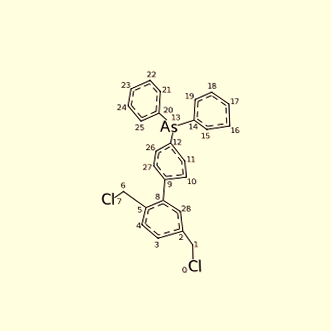 ClCc1ccc(CCl)c(-c2ccc([As](c3ccccc3)c3ccccc3)cc2)c1